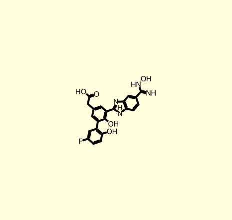 N=C(NO)c1ccc2[nH]c(-c3cc(CC(=O)O)cc(-c4cc(F)ccc4O)c3O)nc2c1